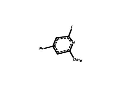 COc1cc(C(C)C)cc(F)n1